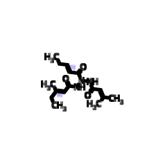 CC/C=C/C(=O)N(NC(=O)C=C(C)C)NC(=O)/C=C(\C)CC